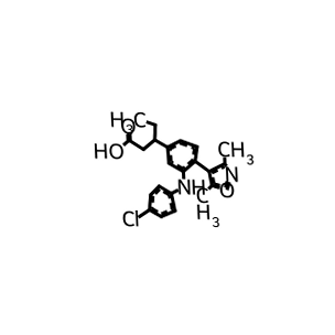 CCC(CC(=O)O)c1ccc(-c2c(C)noc2C)c(Nc2ccc(Cl)cc2)c1